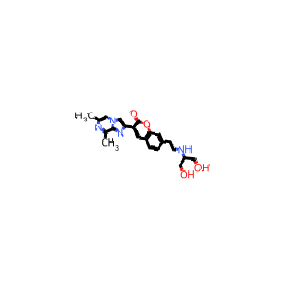 Cc1cn2cc(-c3cc4ccc(CCNC(CO)CO)cc4oc3=O)nc2c(C)n1